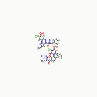 Cc1ccc(C(=O)N(C)C(N)=O)cc1-n1c(C)cc(OCc2ccccc2CNC(=O)Nc2cc(C(C)(C)C)nn2-c2ccc(O)c(Cl)c2)c(Cl)c1=O